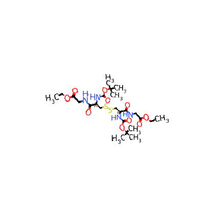 CCOC(=O)CNC(=O)[C@H](CSSC[C@H](NC(=O)OC(C)(C)C)C(=O)NCC(=O)OCC)NC(=O)OC(C)(C)C